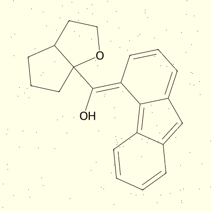 OC(=c1cccc2c1=c1ccccc1=C2)C12CCCC1CCO2